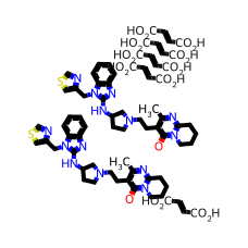 Cc1nc2n(c(=O)c1CCN1CCC(Nc3nc4ccccc4n3Cc3cscn3)C1)CCCC2.Cc1nc2n(c(=O)c1CCN1CCC(Nc3nc4ccccc4n3Cc3cscn3)C1)CCCC2.O=C(O)C=CC(=O)O.O=C(O)C=CC(=O)O.O=C(O)C=CC(=O)O.O=C(O)C=CC(=O)O.O=C(O)C=CC(=O)O